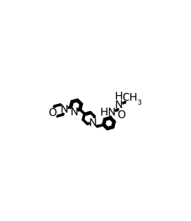 CCNC(=O)Nc1cccc(CN2CC=C(c3cccc(N4CCOCC4)n3)CC2)c1